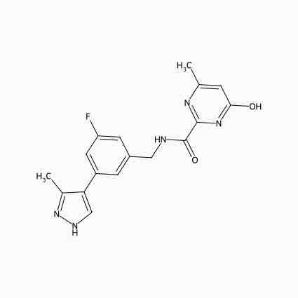 Cc1cc(O)nc(C(=O)NCc2cc(F)cc(-c3c[nH]nc3C)c2)n1